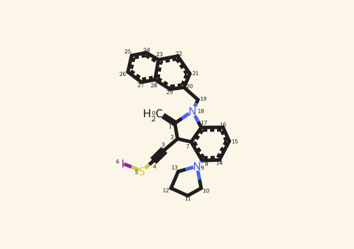 C=C1C(C#CSI)c2c(N3CCCC3)cccc2N1Cc1ccc2ccccc2c1